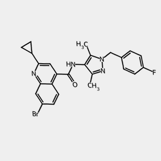 Cc1nn(Cc2ccc(F)cc2)c(C)c1NC(=O)c1cc(C2CC2)nc2cc(Br)ccc12